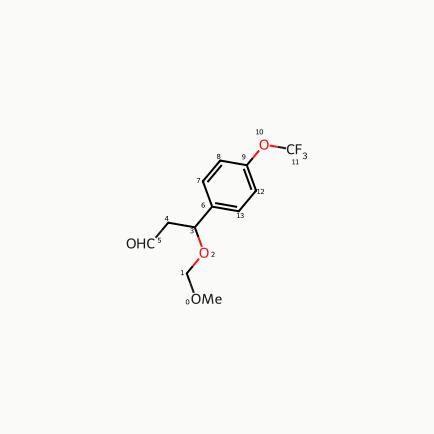 COCOC(CC=O)c1ccc(OC(F)(F)F)cc1